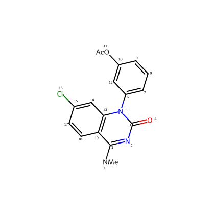 CNc1nc(=O)n(-c2cccc(OC(C)=O)c2)c2cc(Cl)ccc12